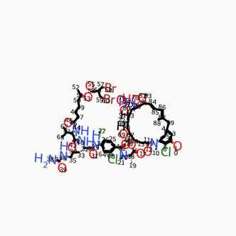 COc1cc2cc(c1Cl)N(C)C(=O)C[C@H](OC(=O)[C@H](C)N(C)C(=O)c1cc(F)c(NC(=O)[C@H](CCCNC(N)=O)NC(=O)[C@@H](NC(=O)CCCCC(C)OC(=O)C(CBr)CBr)C(C)C)cc1Cl)[C@]1(C)O[C@H]1[C@H](C)[C@@H]1C[C@@](O)(NC(=O)O1)[C@H](OC)/C=C/C=C(\C)C2